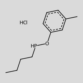 CCCCPOc1cccc(C)c1.Cl